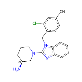 N#Cc1ccc(Cn2c(N3CCC[C@H](N)C3)nc3ccccc32)c(Cl)c1